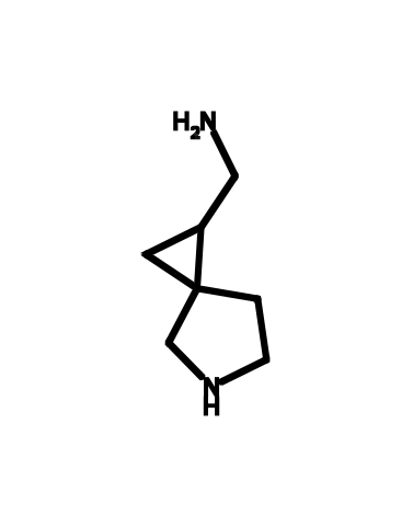 NCC1CC12CCNC2